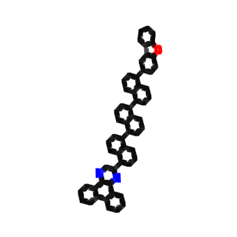 c1ccc2c(c1)oc1ccc(-c3cccc4c(-c5cccc6c(-c7cccc8c(-c9cnc%10c%11ccccc%11c%11ccccc%11c%10n9)cccc78)cccc56)cccc34)cc12